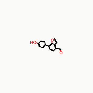 O=Cc1ccc(-c2ccc(O)cc2)c2occc12